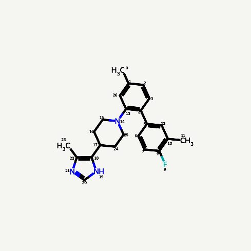 Cc1ccc(-c2ccc(F)c(C)c2)c(N2CCC(c3[nH]cnc3C)CC2)c1